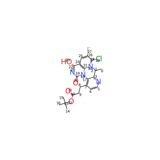 CC(C)c1nccc(CCC(=O)OC(C)(C)C)c1-n1c(=O)nc(O)c2cc(F)c(Cl)nc21